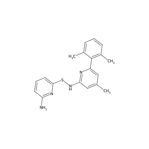 Cc1cc(NSc2cccc(N)n2)nc(-c2c(C)cccc2C)c1